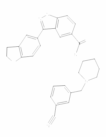 N#Cc1cccc(CN2CCC[C@@H](NC(=O)c3ccc4[nH]nc(-c5ccc6c(c5)CCO6)c4c3)C2)c1